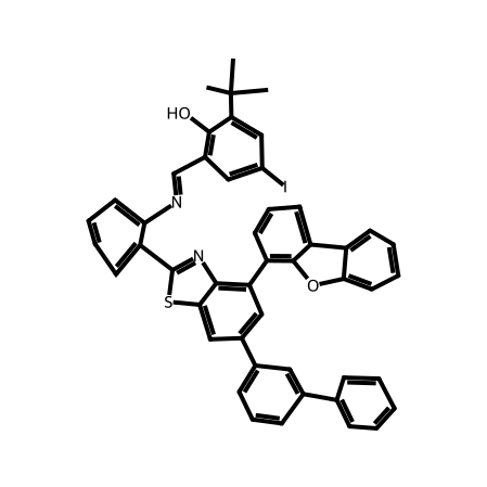 CC(C)(C)c1cc(I)cc(/C=N/c2ccccc2-c2nc3c(-c4cccc5c4oc4ccccc45)cc(-c4cccc(-c5ccccc5)c4)cc3s2)c1O